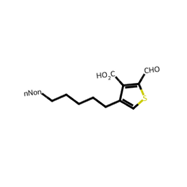 CCCCCCCCCCCCCCc1csc(C=O)c1C(=O)O